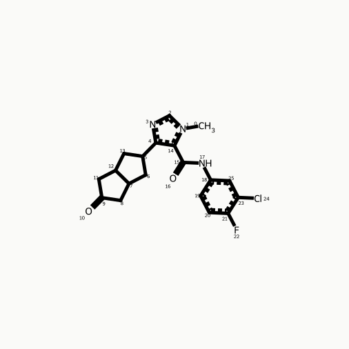 Cn1cnc(C2CC3CC(=O)CC3C2)c1C(=O)Nc1ccc(F)c(Cl)c1